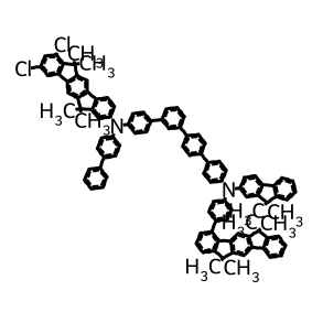 CC1(C)c2ccccc2-c2ccc(N(c3ccc(-c4ccc(-c5cccc(-c6ccc(N(c7ccc(-c8ccccc8)cc7)c7ccc8c(c7)C(C)(C)c7cc9c(cc7-8)C(C)(C)c7c(Cl)cc(Cl)cc7-9)cc6)c5)cc4)cc3)c3ccc(-c4cccc5c4-c4cc6c(cc4C5(C)C)-c4ccccc4C6(C)C)cc3)cc21